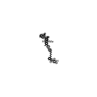 COc1cc(N2CCC(N3CCN(CCCCCc4cccc5c4CN(C4CCC(=O)NC4=O)C5=O)CC3)CC2)c(C)cc1Nc1ncc(Br)c(Nc2ccc3nccnc3c2P(C)(C)=O)n1